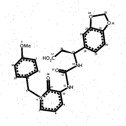 COc1ccc(Cn2cccc(NC(=O)N[C@@H](CC(=O)O)c3ccc4c(c3)OCO4)c2=O)cc1